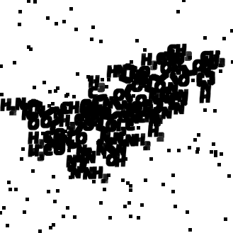 Cc1cn(C2CN(P(=O)(OCC3CN(P(=O)(OCC4CN(P(=O)(OCC5CN(C)CC(n6ccc(N)nc6=O)O5)N(C)C)CC(n5cnc6c(N)ncnc65)O4)N(C)C)CC(n4cnc5c(=O)[nH]c(N)nc54)O3)N(C)C)CC(COP(=O)(N3CCNCC3)N3CC(COP(=O)(N(C)C)N4CC(COP(C)(=O)N5CCNCC5)OC(n5cnc6c(N)ncnc65)C4)OC(n4ccc(N)nc4=O)C3)O2)c(=O)[nH]c1=O